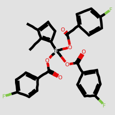 CC1=CC[C]([Ti]([O]C(=O)c2ccc(F)cc2)([O]C(=O)c2ccc(F)cc2)[O]C(=O)c2ccc(F)cc2)=C1C